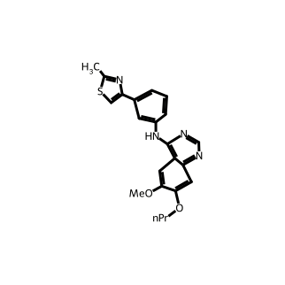 CCCOc1cc2ncnc(Nc3cccc(-c4csc(C)n4)c3)c2cc1OC